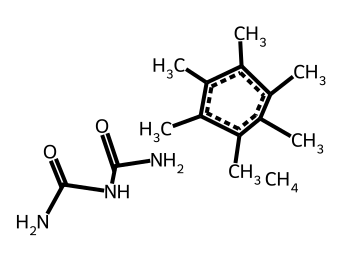 C.Cc1c(C)c(C)c(C)c(C)c1C.NC(=O)NC(N)=O